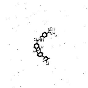 NC(=NO)c1ccc(CNC(=O)c2ccc3c(c2)[C@@H]2O[C@H]3c3ccc(-c4ccc(Cl)s4)cc32)cc1